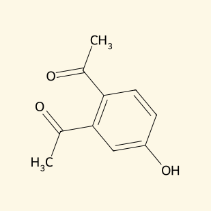 CC(=O)c1ccc(O)cc1C(C)=O